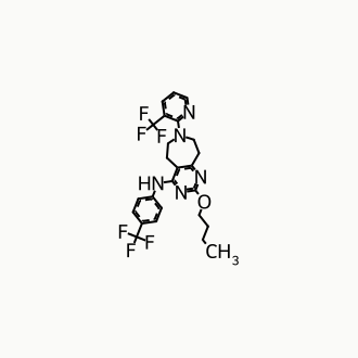 CCCCOc1nc2c(c(Nc3ccc(C(F)(F)F)cc3)n1)CCN(c1ncccc1C(F)(F)F)CC2